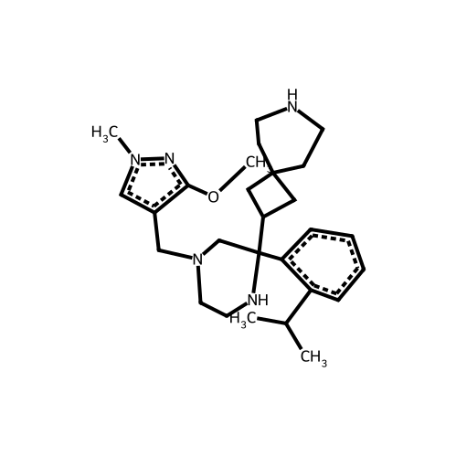 COc1nn(C)cc1CN1CCNC(c2ccccc2C(C)C)(C2CC3(CCNCC3)C2)C1